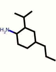 CCCC1CCC(N)C(C(C)C)C1